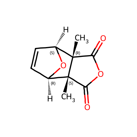 C[C@@]12C(=O)OC(=O)[C@]1(C)[C@H]1C=C[C@@H]2O1